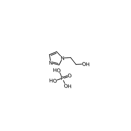 O=P(O)(O)O.OCCn1ccnc1